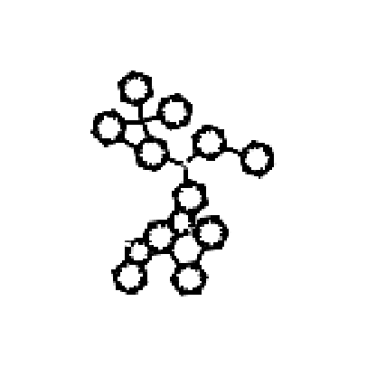 c1ccc(-c2cccc(N(c3ccc4c(c3)C(c3ccccc3)(c3ccccc3)c3ccccc3-4)c3ccc4oc5c(-c6ccccc6-c6ccccc6)c6c(cc5c4c3)oc3ccccc36)c2)cc1